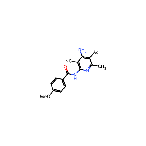 COc1ccc(C(=O)Nc2nc(C)c(C(C)=O)c(N)c2C#N)cc1